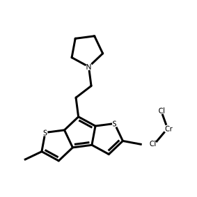 CC1=CC2=c3cc(C)sc3=C(CCN3CCCC3)C2S1.[Cl][Cr][Cl]